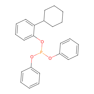 c1ccc(OP(Oc2ccccc2)Oc2ccccc2C2CCCCC2)cc1